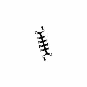 COC(=O)C(F)(F)C(F)(F)C(F)(F)C(F)(F)C(=O)OC